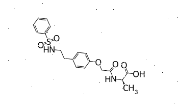 C[C@@H](NC(=O)COc1ccc(CCNS(=O)(=O)c2ccccc2)cc1)C(=O)O